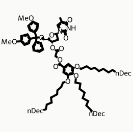 CCCCCCCCCCCCCCCCCCOc1cc(C(=O)OCC(=O)O[C@H]2C[C@H](n3cc(C)c(=O)[nH]c3=O)O[C@@H]2COC(c2ccccc2)(c2ccc(OC)cc2)c2ccc(OC)cc2)cc(OCCCCCCCCCCCCCCCCCC)c1OCCCCCCCCCCCCCCCCCC